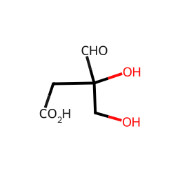 O=CC(O)(CO)CC(=O)O